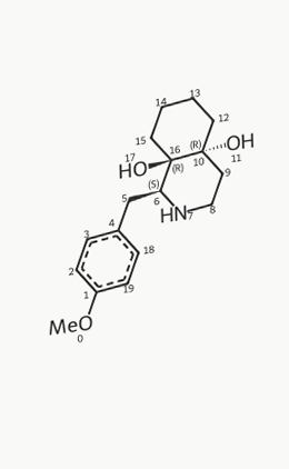 COc1ccc(C[C@@H]2NCC[C@]3(O)CCCC[C@@]23O)cc1